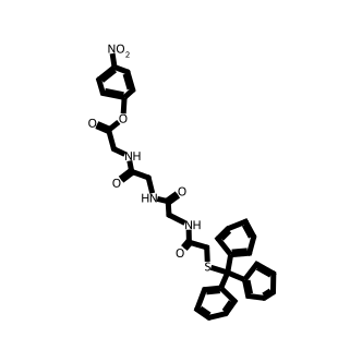 O=C(CNC(=O)CSC(c1ccccc1)(c1ccccc1)c1ccccc1)NCC(=O)NCC(=O)Oc1ccc([N+](=O)[O-])cc1